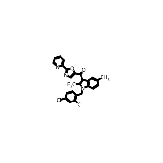 Cc1ccc2c(c1)c(C(=O)c1cnc(-c3ccccn3)o1)c(C(F)(F)F)n2Cc1ccc(Cl)cc1Cl